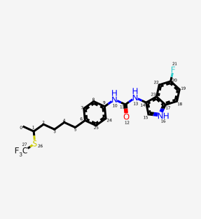 CC(CCCCc1ccc(NC(=O)Nc2c[nH]c3ccc(F)cc23)cc1)SC(F)(F)F